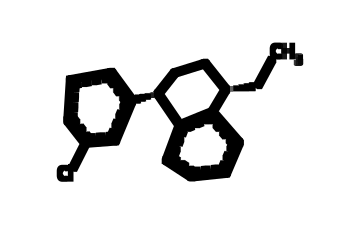 CC[C@H]1CC[C@@H](c2cccc(Cl)c2)c2ccccc21